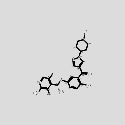 Cc1ncc(Cl)c([C@@H](N)Oc2ccc(N)c(C(=N)c3cnn(C4CC[S+]([O-])CC4)c3)c2)c1Cl